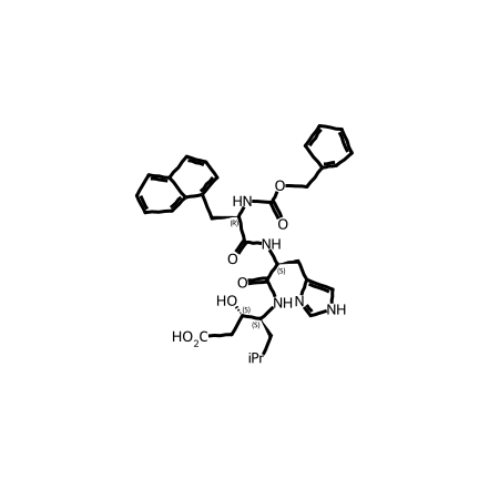 CC(C)C[C@H](NC(=O)[C@H](Cc1c[nH]cn1)NC(=O)[C@@H](Cc1cccc2ccccc12)NC(=O)OCc1ccccc1)[C@@H](O)CC(=O)O